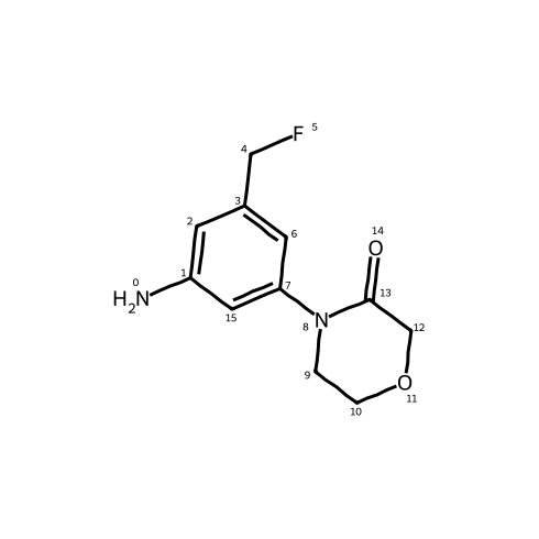 Nc1cc(CF)cc(N2CCOCC2=O)c1